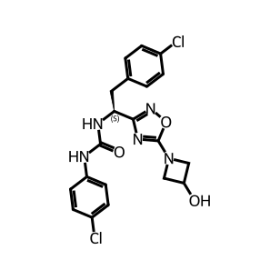 O=C(Nc1ccc(Cl)cc1)N[C@@H](Cc1ccc(Cl)cc1)c1noc(N2CC(O)C2)n1